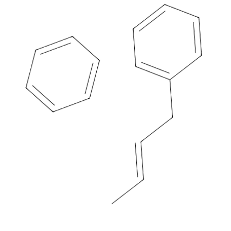 CC=CCc1ccccc1.c1ccccc1